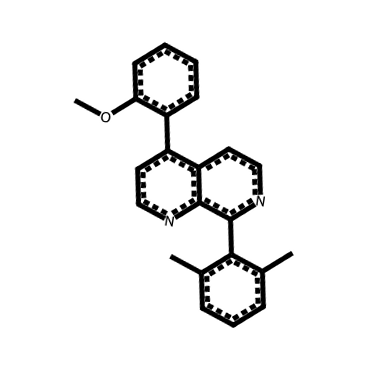 COc1ccccc1-c1ccnc2c(-c3c(C)cccc3C)nccc12